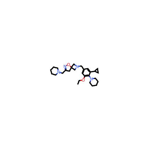 CCOc1cc(CN2CC3(CC(CN4CCCCC4)=NO3)C2)cc(C2CC2)c1N1CCCCC1